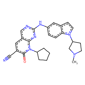 CN1CCC(n2ccc3cc(Nc4ncc5cc(C#N)c(=O)n(C6CCCC6)c5n4)ccc32)C1